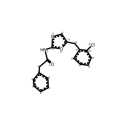 O=C(Cc1ccccc1)Nc1ncc(Cc2ccccc2Cl)o1